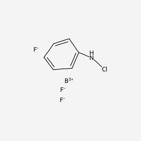 ClNc1ccccc1.[B+3].[F-].[F-].[F-]